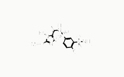 CCn1c(OC)nnc1[C@@H](C)NS(=O)(=O)c1ccc(Cl)c(S(N)(=O)=O)c1